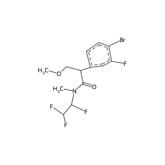 COCC(C(=O)N(C)C(F)C(F)F)c1ccc(Br)c(F)c1